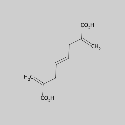 C=C(C/C=C/CC(=C)C(=O)O)C(=O)O